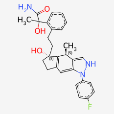 C[C@H]1C2=CNN(c3ccc(F)cc3)C2=CC2=C1[C@](O)(CCc1ccccc1C(C)(O)C(N)=O)CC2